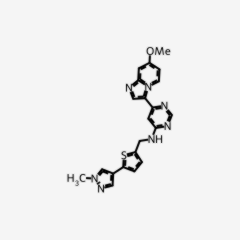 COc1ccn2c(-c3cc(NCc4ccc(-c5cnn(C)c5)s4)ncn3)cnc2c1